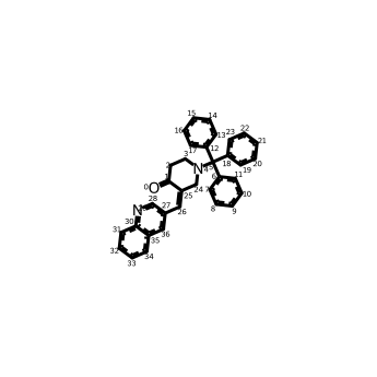 O=C1CCN(C(c2ccccc2)(c2ccccc2)c2ccccc2)C/C1=C/c1cnc2ccccc2c1